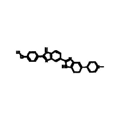 CCOc1ccc(-c2nc3cc(-c4nc5c([nH]4)CCC(C4CCN(C)CC4)=C5)ccc3[nH]2)cc1